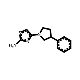 Nc1nc(N2CCC(c3ccccc3)C2)cs1